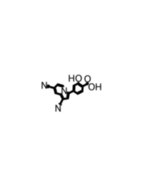 N#Cc1ccn2c(-c3ccc(C(=O)O)c(O)c3)cc(C#N)c2c1